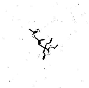 C=CCC(/C=C(\C)OC(C)=O)(CC=C)C(=O)OCC